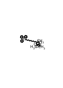 COC1=C(OC)C(=O)C(CCCCCCCCCC[P+](c2ccccc2)(c2ccccc2)c2ccccc2)=C(C)C1=O